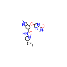 CN(C)C(=O)c1ncc(Oc2cc(C(=O)Nc3ccc(C(F)(F)F)cn3)cc3nn(C)cc23)cn1